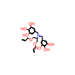 C=CCOCC(COCC=C)N(Cc1cc(O)c(O)c(O)c1)Cc1cc(O)c(O)c(O)c1